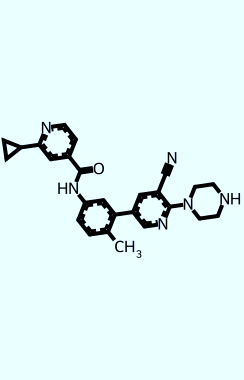 Cc1ccc(NC(=O)c2ccnc(C3CC3)c2)cc1-c1cnc(N2CCNCC2)c(C#N)c1